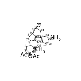 CC(=O)O[C@@]1(C(C)=O)CCC2C3CCC4=CC(=O)CCC4=C3C(c3ccc(N)cc3)C[C@]2(C)C1